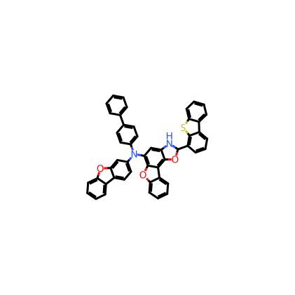 c1ccc(-c2ccc(N(c3ccc4c(c3)oc3ccccc34)c3cc4c(c5c3oc3ccccc35)OC(c3cccc5c3sc3ccccc35)N4)cc2)cc1